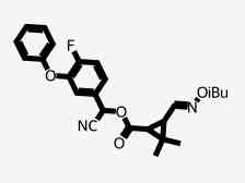 CC(C)CO/N=C/C1C(C(=O)OC(C#N)c2ccc(F)c(Oc3ccccc3)c2)C1(C)C